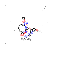 COc1ccc2c(OC3CC4C(=O)NC5(C(=O)O)CC5/C=C/CCCCCC(NC(=O)OC5CCCC5)C(=O)N4C3)cc(-c3csc(NC(C)C)n3)nc2c1